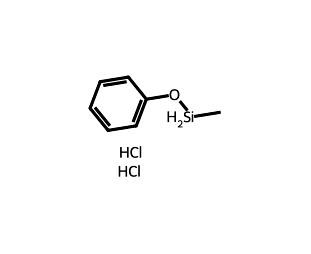 C[SiH2]Oc1ccccc1.Cl.Cl